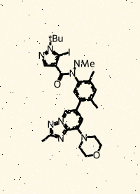 CNN(C(=O)c1cnn(C(C)(C)C)c1I)c1cc(-c2cc(N3CCOCC3)c3nc(C)nn3c2)c(C)cc1C